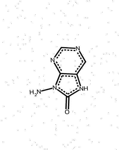 Nn1c(=O)[nH]c2cncnc21